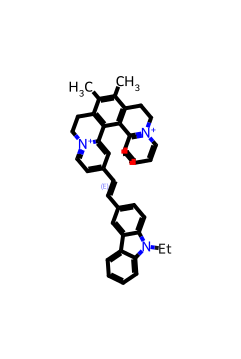 CCn1c2ccccc2c2cc(/C=C/c3cc[n+]4c(c3)-c3c(c(C)c(C)c5c3-c3c6ccccc6cc[n+]3CC5)CC4)ccc21